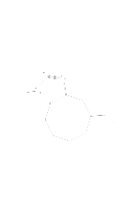 COC1CCCCC2C(C1)N=NN2C